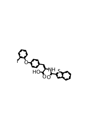 O=C(O)C(=Cc1ccc(Oc2ccccc2I)cc1)NC(=O)c1cc2ccccc2s1